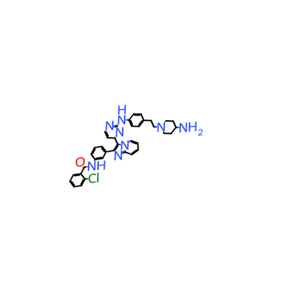 NC1CCN(CCc2ccc(Nc3nccc(-c4c(-c5cccc(NC(=O)c6ccccc6Cl)c5)nc5ccccn45)n3)cc2)CC1